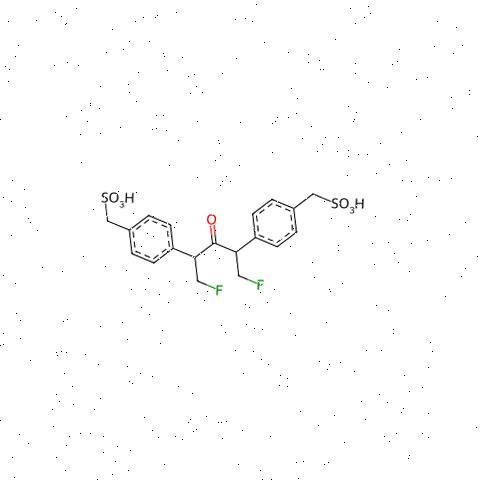 O=C(C(CF)c1ccc(CS(=O)(=O)O)cc1)C(CF)c1ccc(CS(=O)(=O)O)cc1